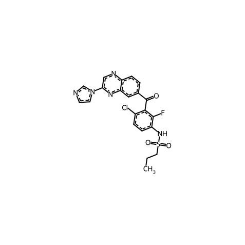 CCCS(=O)(=O)Nc1ccc(Cl)c(C(=O)c2ccc3ncc(-n4ccnc4)nc3c2)c1F